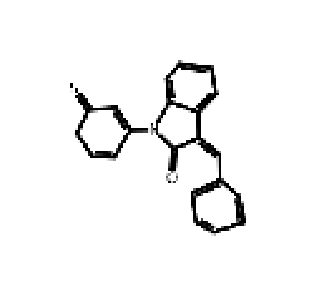 O=C1C(=Cc2ccccc2)c2ccccc2N1C1=CC(=S)CC=C1